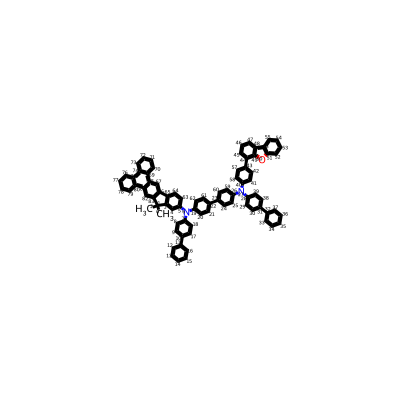 CC1(C)c2cc(N(c3ccc(-c4ccccc4)cc3)c3ccc(-c4ccc(N(c5ccc(-c6ccccc6)cc5)c5ccc(-c6cccc7c6oc6ccccc67)cc5)cc4)cc3)ccc2-c2cc3c4ccccc4c4ccccc4c3cc21